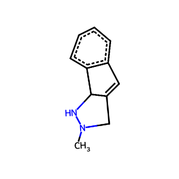 CN1CC2=Cc3ccccc3C2N1